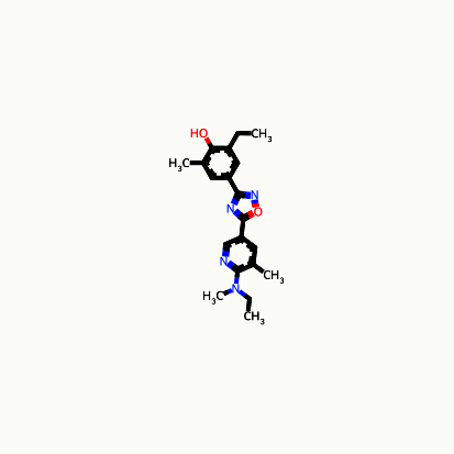 CCc1cc(-c2noc(-c3cnc(N(C)CC)c(C)c3)n2)cc(C)c1O